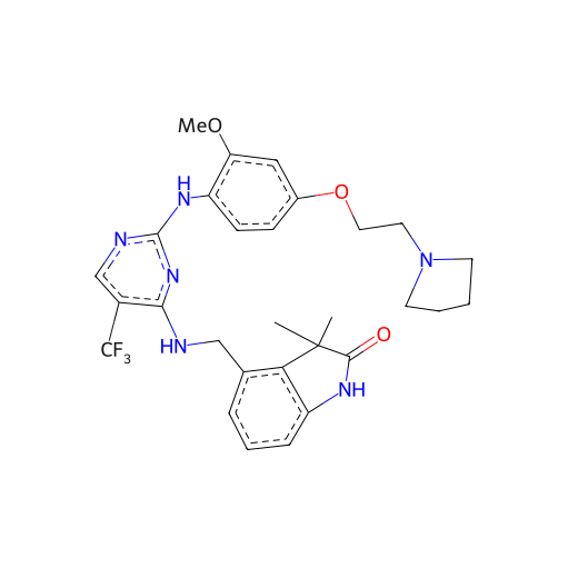 COc1cc(OCCN2CCCC2)ccc1Nc1ncc(C(F)(F)F)c(NCc2cccc3c2C(C)(C)C(=O)N3)n1